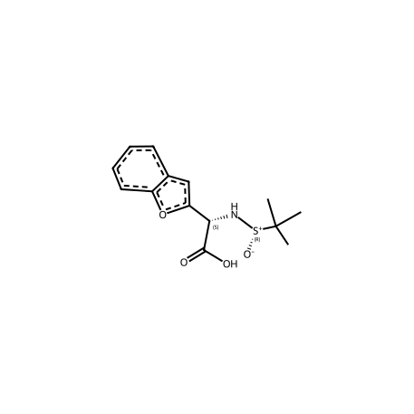 CC(C)(C)[S@+]([O-])N[C@H](C(=O)O)c1cc2ccccc2o1